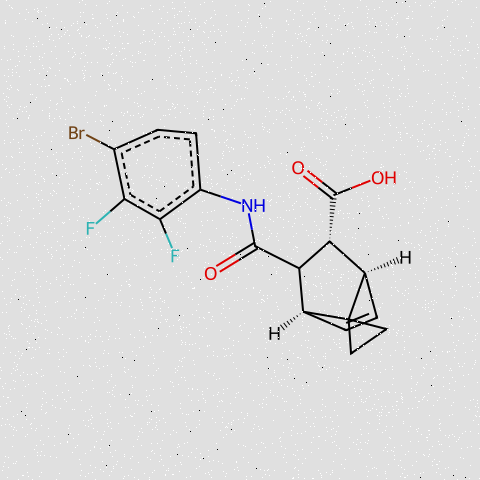 O=C(Nc1ccc(Br)c(F)c1F)C1[C@H](C(=O)O)[C@H]2C=C[C@@H]1C21CC1